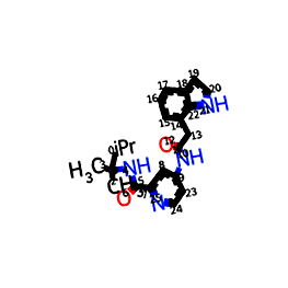 CC(C)C(C)(C)NC(=O)c1cc(NC(=O)Cc2cccc3cc[nH]c23)ccn1